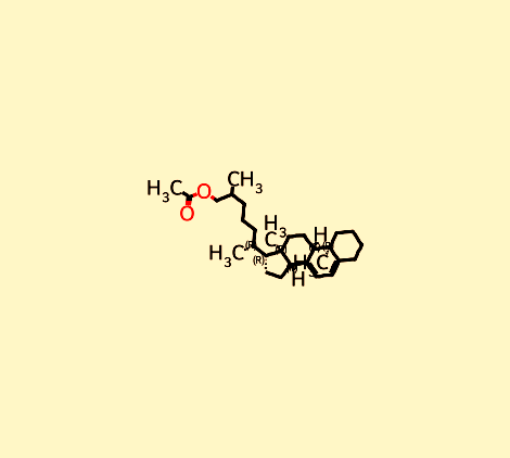 CC(=O)OCC(C)CCC[C@@H](C)[C@H]1CC[C@H]2C3=CC=C4CCCC[C@]4(C)[C@H]3CC[C@]12C